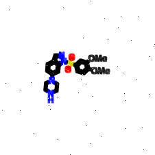 COc1ccc(S(=O)(=O)n2ncc3ccc(N4CCNCC4)cc32)cc1OC